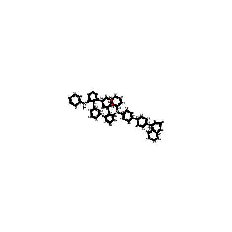 c1ccc(Nc2cccc(-c3cccc(-c4ccccc4N(c4ccccc4)c4ccc(-c5ccc(-c6cccc7ccccc67)cc5)cc4)c3)c2-c2ccccc2)cc1